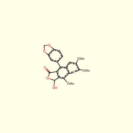 COc1cc2c(OC)c3c(c(-c4ccc5c(c4)OCO5)c2cc1OC)C(=O)OC3O